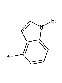 CCn1ccc2c(C(C)C)cccc21